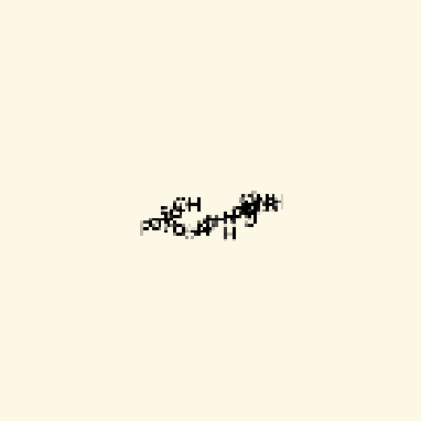 O=C1CCC(N2C(=O)c3ccc(NCCCN4CCN(CCOc5ccc(Oc6c(-c7ccc(F)cc7)sc7cc(O)ccc67)cc5)CC4)cc3C2=O)C(=O)N1